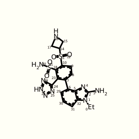 CCn1c(N)nc2c(-c3ccc(S(=O)(=O)C4CNC4)c(S(N)(=O)=O)c3-c3nn[nH]n3)cccc21